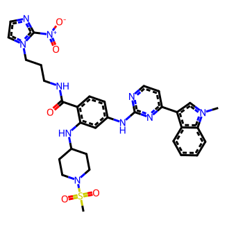 Cn1cc(-c2ccnc(Nc3ccc(C(=O)NCCCn4ccnc4[N+](=O)[O-])c(NC4CCN(S(C)(=O)=O)CC4)c3)n2)c2ccccc21